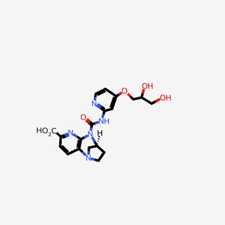 O=C(O)c1ccc2c(n1)N(C(=O)Nc1cc(OCC(O)CO)ccn1)[C@H]1CCN2C1